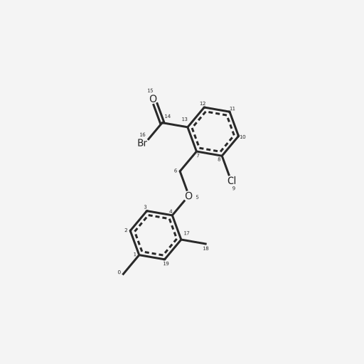 Cc1ccc(OCc2c(Cl)cccc2C(=O)Br)c(C)c1